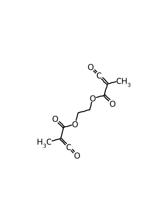 CC(=C=O)C(=O)OCCOC(=O)C(C)=C=O